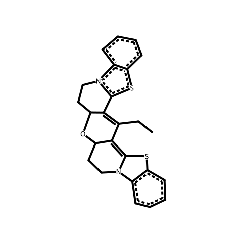 CCC1=C2c3sc4ccccc4[n+]3CCC2OC2CCN3C(=C12)Sc1ccccc13